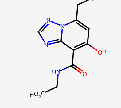 CC(C)(C)Cc1cc(O)c(C(=O)NCC(=O)O)c2ncnn12